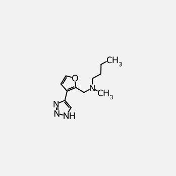 CCCCN(C)Cc1occc1-c1c[nH]nn1